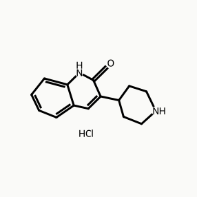 Cl.O=c1[nH]c2ccccc2cc1C1CCNCC1